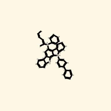 C/C=C\C=C(/C)N(c1ccccc1)c1cc2c3ccccc3oc2c2c1c1ccccc1n2-c1ccc(-c2ccccc2)cc1